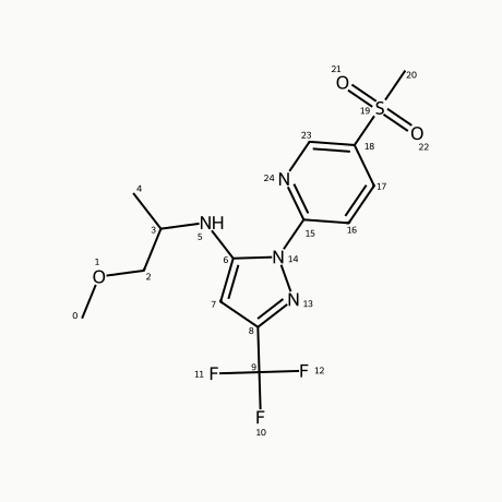 COCC(C)Nc1cc(C(F)(F)F)nn1-c1ccc(S(C)(=O)=O)cn1